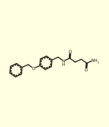 NC(=O)CCC(=O)NCc1ccc(OCc2ccccc2)cc1